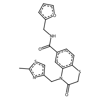 Cc1nc(CN2C(=O)CSc3ccc(C(=O)NCc4ccco4)cc32)cs1